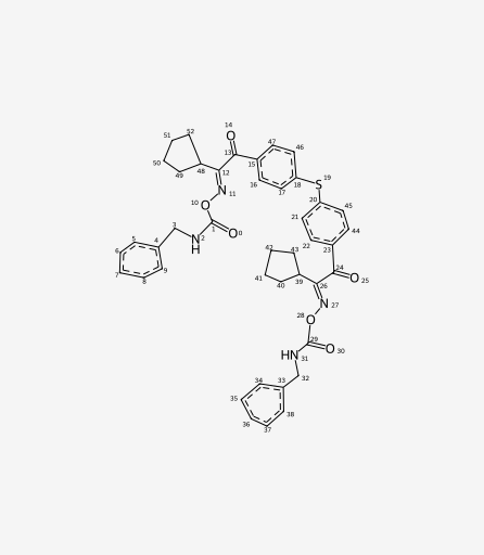 O=C(NCc1ccccc1)O/N=C(/C(=O)c1ccc(Sc2ccc(C(=O)/C(=N/OC(=O)NCc3ccccc3)C3CCCC3)cc2)cc1)C1CCCC1